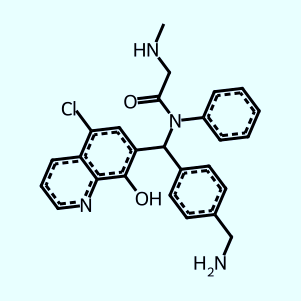 CNCC(=O)N(c1ccccc1)C(c1ccc(CN)cc1)c1cc(Cl)c2cccnc2c1O